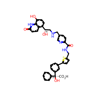 O=C(NCc1ccc(-c2cccc([C@](O)(C(=O)O)c3ccccc3)c2)s1)c1ccc(CNC[C@H](O)c2ccc(O)c3[nH]c(=O)ccc23)cn1